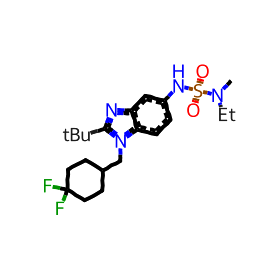 CCN(C)S(=O)(=O)Nc1ccc2c(c1)nc(C(C)(C)C)n2CC1CCC(F)(F)CC1